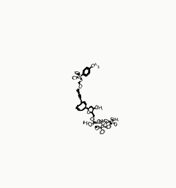 Cc1ccc(S(=O)(=O)SCOCC#CC2=C/C=C\C=C(C3CC(O)C(COP(=O)(O)OP(=O)(O)OP(=O)(O)O)O3)/C=C\2)cc1